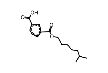 CC(C)CCCCCOC(=O)c1cccc(C(=O)O)c1